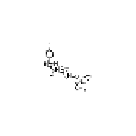 C[C@@H](CC(=O)N1CCC(O)(Cn2cnc3c(cnn3-c3ccc(F)cc3)c2=O)CC1)N1CC2CCCC2C1